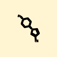 CC(=O)N1CCC(n2ccc(C#N)c2)CC1